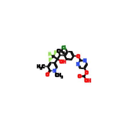 Cc1cc(C(O)(C(C)c2ccc(Oc3ncc(OC(=O)O)cn3)cc2Cl)C(F)(F)F)cn(C)c1=O